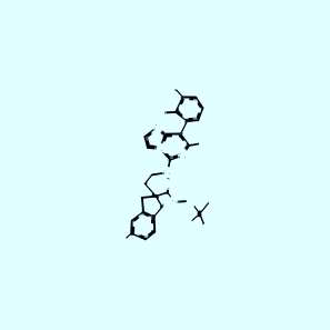 Cc1nc(N2CCC3(Cc4ccc(F)cc4C3)C(N[S@+]([O-])C(C)(C)C)C2)n2ccnc2c1-c1cccc(Cl)c1Cl